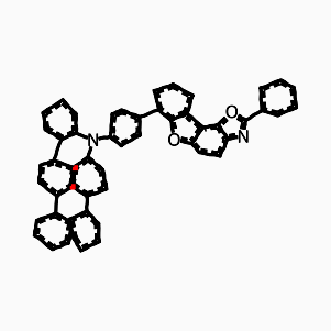 c1ccc(-c2ccc(-c3ccccc3N(c3ccc(-c4ccccc4)cc3)c3ccc(-c4cccc5c4oc4ccc6nc(-c7ccccc7)oc6c45)cc3)cc2)cc1